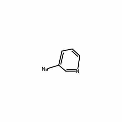 [Na][c]1cccnc1